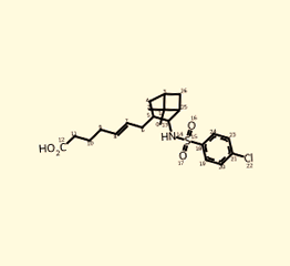 CC1(C)C2CC(CC=CCCCC(=O)O)C(NS(=O)(=O)c3ccc(Cl)cc3)C1C2